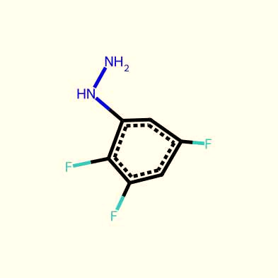 NNc1cc(F)cc(F)c1F